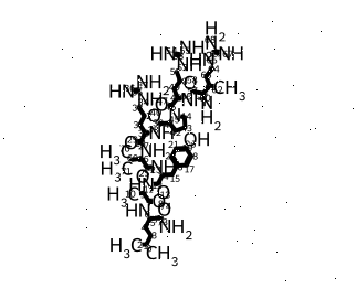 CC(C)CCC(NC(=O)C(C)NC(=O)C(Cc1ccc(O)cc1)NC(=O)C(NC(=O)C(CCCNC(=N)N)NC(=O)C1CCCN1C(=O)C(CCCNC(=N)N)NC(=O)C(N)C(C)CCNC(=N)N)C(C)C)C(N)=O